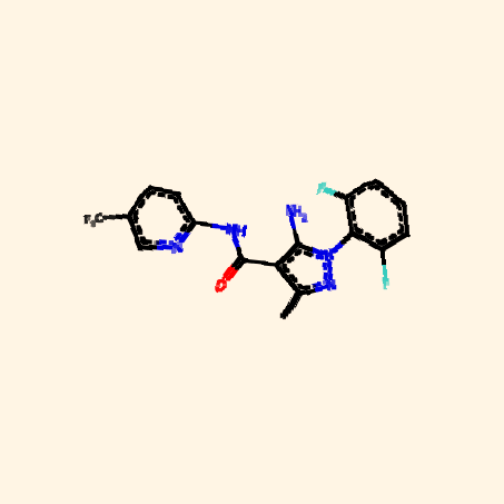 Cc1nn(-c2c(F)cccc2F)c(N)c1C(=O)Nc1ccc(C(F)(F)F)cn1